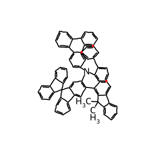 CC1(C)c2ccccc2-c2cccc(-c3cc4c(cc3N(c3ccc5c6ccccc6c6ccccc6c5c3)c3ccccc3-c3ccccc3)C3(c5ccccc5-c5ccccc53)c3ccccc3-4)c21